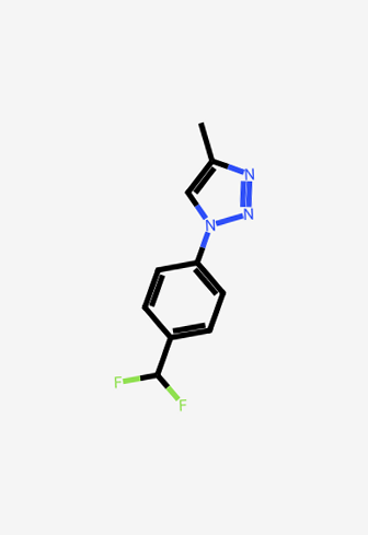 Cc1cn(-c2ccc(C(F)F)cc2)nn1